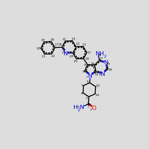 NC(=O)C1CCC(n2cc(-c3ccc4ccc(-c5ccccc5)nc4c3)c3c(N)ncnc32)CC1